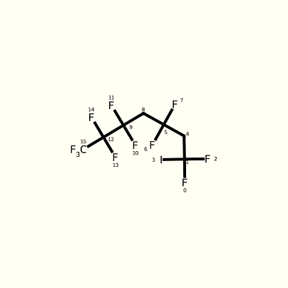 FC(F)(I)CC(F)(F)CC(F)(F)C(F)(F)C(F)(F)F